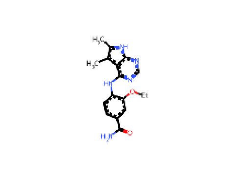 CCOc1cc(C(N)=O)ccc1Nc1ncnc2[nH]c(C)c(C)c12